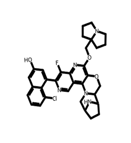 Oc1cc(-c2ncc3c4c(c(OCC56CCCN5CCC6)nc3c2F)OCC2C3CCC(CN42)N3)c2c(Cl)cccc2c1